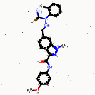 CC(C)c1ccccc1N(NCc1ccc2c(C(=O)Nc3ccc(OC(F)(F)F)cc3)nn(C)c2c1)C(N)=S